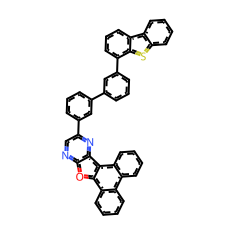 c1cc(-c2cccc(-c3cccc4c3sc3ccccc34)c2)cc(-c2cnc3oc4c5ccccc5c5ccccc5c4c3n2)c1